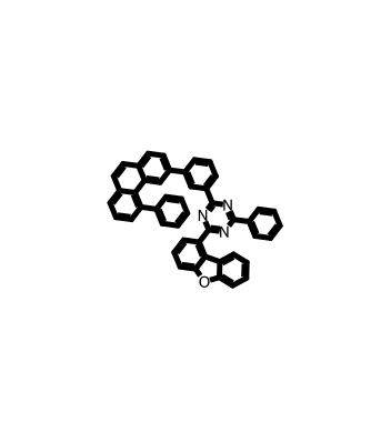 c1ccc(-c2nc(-c3cccc(-c4ccc5ccc6cccc(-c7ccccc7)c6c5c4)c3)nc(-c3cccc4oc5ccccc5c34)n2)cc1